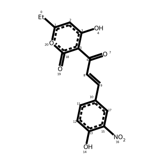 CCc1cc(O)c(C(=O)/C=C/c2ccc(O)c([N+](=O)[O-])c2)c(=O)o1